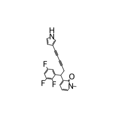 Cn1cccc(C(CC#CC#Cc2cc[nH]c2)c2cc(F)cc(F)c2F)c1=O